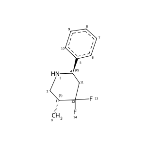 C[C@@H]1CN[C@@H](c2ccccc2)CC1(F)F